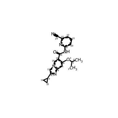 CC(C)Oc1cc2nc(C3CC3)cn2cc1C(=O)Nc1cccc(C#N)n1